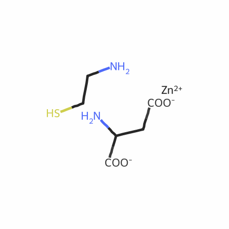 NC(CC(=O)[O-])C(=O)[O-].NCCS.[Zn+2]